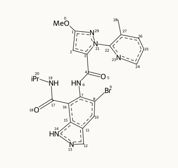 COc1cc(C(=O)Nc2c(Br)cc3cn[nH]c3c2C(=O)NC(C)C)n(-c2ncccc2C)n1